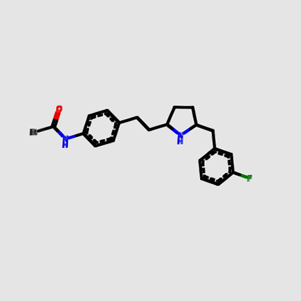 CCC(=O)Nc1ccc(CCC2CCC(Cc3cccc(F)c3)N2)cc1